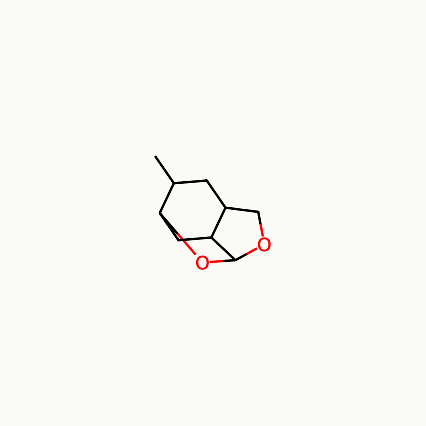 CC1CC2COC3OC1CC23